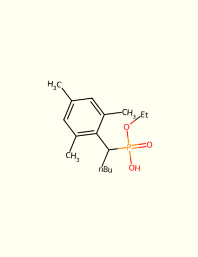 CCCCC(c1c(C)cc(C)cc1C)P(=O)(O)OCC